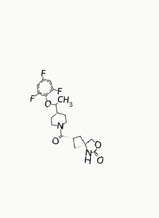 CC(Oc1c(F)cc(F)cc1F)C1CCN(C(=O)[C@H]2C[C@@]3(COC(=O)N3)C2)CC1